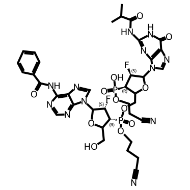 CC(C)C(=O)Nc1nc2c(ncn2C2OC(COP(=O)(OCCCC#N)[C@@H]3C(CO)OC(n4cnc5c(NC(=O)c6ccccc6)ncnc54)[C@@H]3F)[C@@H](P(=O)(O)OCCC#N)[C@H]2F)c(=O)[nH]1